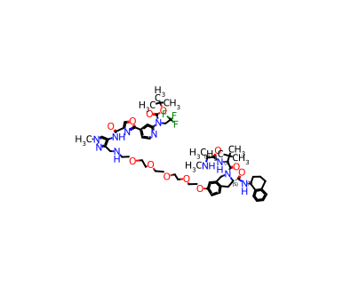 CN[C@@H](C)C(=O)N[C@H](C(=O)N1Cc2cc(OCCOCCOCCOCCOCCNCc3nn(C)cc3NC(=O)c3coc(-c4ccnc(N(CC(F)(F)F)C(=O)OC(C)(C)C)c4)n3)ccc2C[C@H]1C(=O)N[C@@H]1CCCc2ccccc21)C(C)(C)C